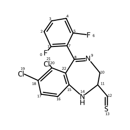 Fc1cccc(F)c1C1=NCC(C=S)Nc2ccc(Cl)c(Cl)c21